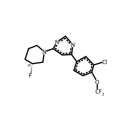 F[C@@H]1CCCN(c2cc(-c3ccc(OC(F)(F)F)c(Cl)c3)ncn2)C1